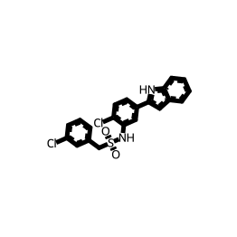 O=S(=O)(Cc1cccc(Cl)c1)Nc1cc(-c2cc3ccccc3[nH]2)ccc1Cl